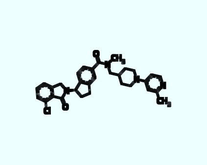 Cc1cc(N2CCC(CN(C)C(=O)c3ccc4c(c3)CC[C@H]4N3Cc4cccc(Cl)c4C3=O)CC2)ccn1